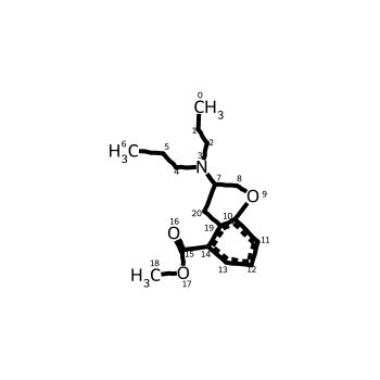 CCCN(CCC)C1COc2cccc(C(=O)OC)c2C1